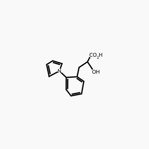 O=C(O)C(O)Cc1ccccc1-n1cccc1